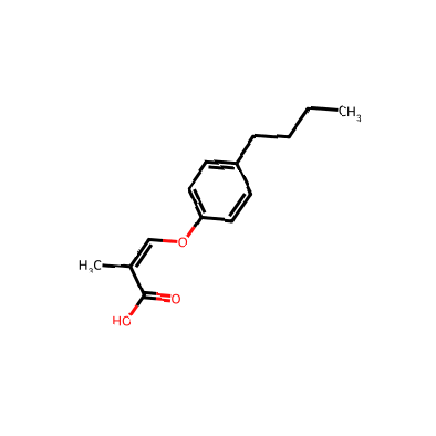 CCCCc1ccc(OC=C(C)C(=O)O)cc1